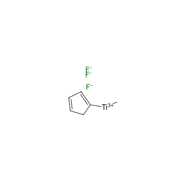 [CH3][Ti+3][C]1=CC=CC1.[F-].[F-].[F-]